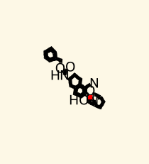 N#Cc1c(N2CC3CCC(C2)N3C(=O)O)ccc2c1CCC(NC(=O)OCc1ccccc1)C2